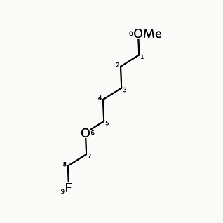 COCCCCCOCCF